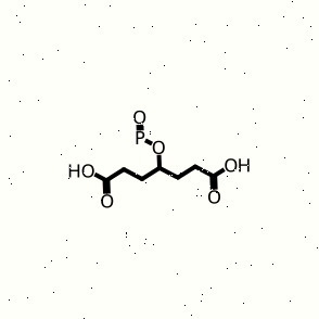 O=POC(CCC(=O)O)CCC(=O)O